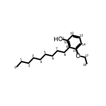 CCCCCCCCCc1c(O)cccc1OCC